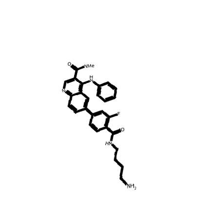 CNC(=O)c1cnc2ccc(-c3ccc(C(=O)NCCCCN)c(F)c3)cc2c1Nc1ccccc1